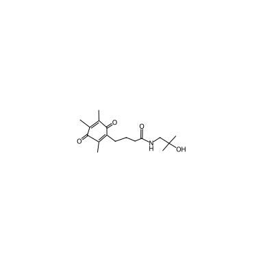 CC1=C(C)C(=O)C(CCCC(=O)NCC(C)(C)O)=C(C)C1=O